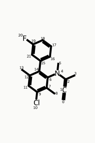 C=C=C(C)N(C)c1c(C)c(Cl)cc(C)c1-c1cccc(F)c1